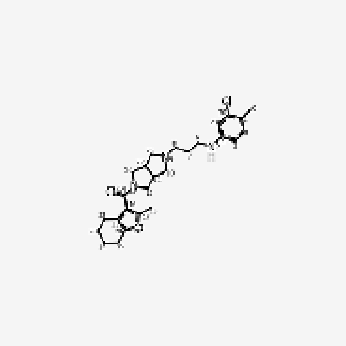 Cc1ccc(NCCCN2CC3CN(C(=O)c4c(C)oc5c4CCCC5)CC3C2)cc1Cl